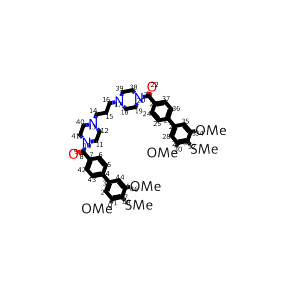 COc1cc(-c2ccc(C(=O)N3CCN(CCCN4CCN(C(=O)c5ccc(-c6cc(OC)c(SC)c(OC)c6)cc5)CC4)CC3)cc2)cc(OC)c1SC